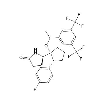 CC(O[C@]1([C@H]2CCC(=O)N2)CCC[C@@H]1c1ccc(F)cc1)c1cc(C(F)(F)F)cc(C(F)(F)F)c1